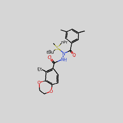 CCCS(C)(N(NC(=O)c1ccc2c(c1CC)OCCO2)C(=O)c1cc(C)cc(C)c1)C(C)(C)C